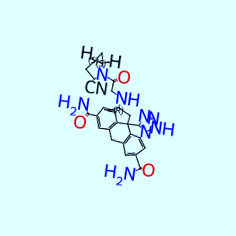 C[C@H](CC1(c2nn[nH]n2)c2ccc(C(N)=O)cc2Cc2cc(C(N)=O)ccc21)NCC(=O)N1C(C#N)C[C@@H]2C[C@@H]21